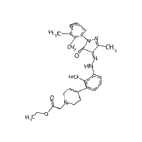 CCOC(=O)CN1CC=C(c2cccc(NN=C3C(=O)N(c4cccc(C)c4C)N=C3C)c2O)CC1